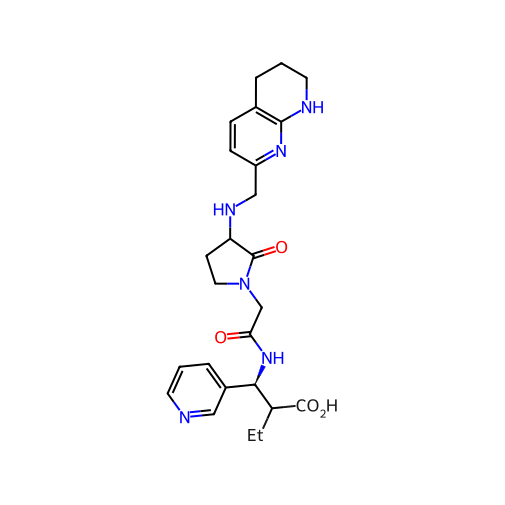 CCC(C(=O)O)[C@H](NC(=O)CN1CCC(NCc2ccc3c(n2)NCCC3)C1=O)c1cccnc1